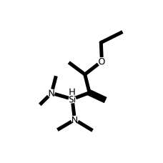 C=C(C(C)OCC)[SiH](N(C)C)N(C)C